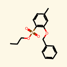 CCCOS(=O)(=O)c1ccc(C)cc1OCc1ccccc1